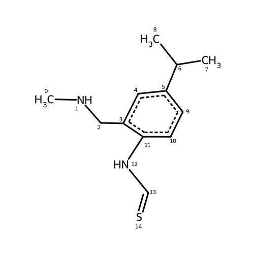 CNCc1cc(C(C)C)ccc1NC=S